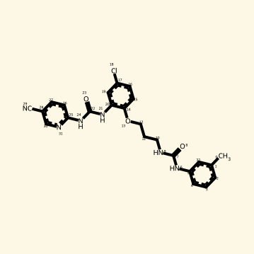 Cc1cccc(NC(=O)NCCCOc2ccc(Cl)cc2NC(=O)Nc2ccc(C#N)cn2)c1